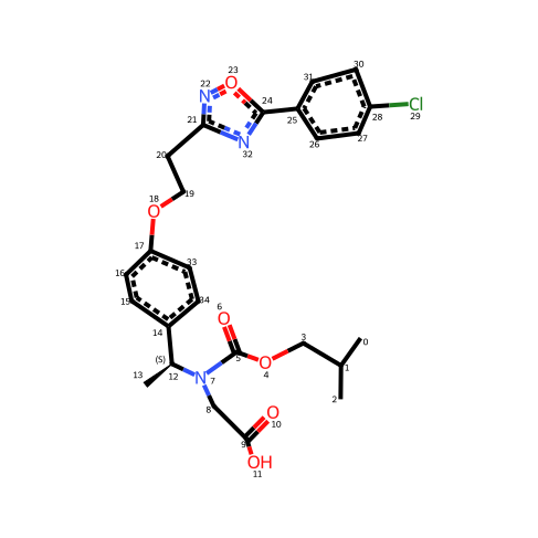 CC(C)COC(=O)N(CC(=O)O)[C@@H](C)c1ccc(OCCc2noc(-c3ccc(Cl)cc3)n2)cc1